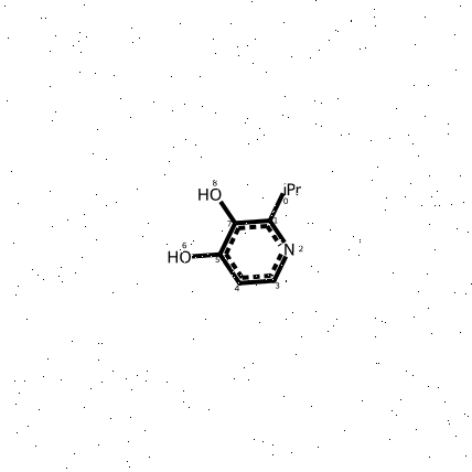 CC(C)c1nccc(O)c1O